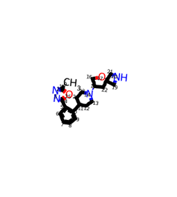 Cc1nnc(-c2ccccc2C2CCN([C@@H]3COC4(CNC4)C3)CC2)o1